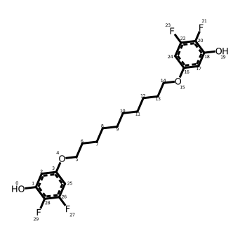 Oc1cc(OCCCCCCCCCCOc2cc(O)c(F)c(F)c2)cc(F)c1F